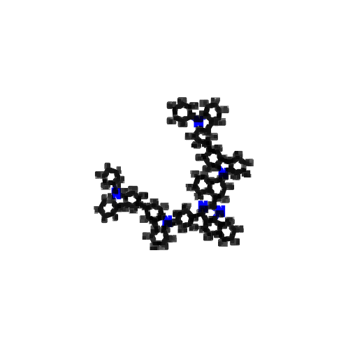 c1ccc(-n2c3ccccc3c3cc(-c4ccc5c(c4)c4ccccc4n5-c4ccc(-c5nc(-c6ccc(-n7c8ccccc8c8cc(-c9ccc%10c(c9)c9ccccc9n%10-c9ccccc9)ccc87)c7ccccc67)nc6c5ccc5ccccc56)cc4)ccc32)cc1